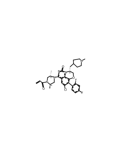 C=CC(=O)N1C[C@H](C)N(c2nc(=O)n3c4c(c(-c5ccc(F)cc5F)c(Cl)cc24)OC[C@H]3CC2CCN(C)CC2)C[C@H]1C